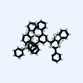 c1ccc(-c2nc(-c3cc(-c4ccccc4)c(-n4c5ccccc5c5ccc6c(c7ccccc7n6-c6ccccc6)c54)c(-c4ccccc4)c3)c3oc4ccccc4c3n2)cc1